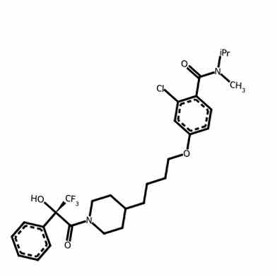 CC(C)N(C)C(=O)c1ccc(OCCCCC2CCN(C(=O)[C@@](O)(c3ccccc3)C(F)(F)F)CC2)cc1Cl